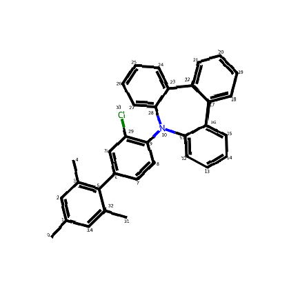 Cc1cc(C)c(-c2ccc(N3c4ccccc4-c4ccccc4-c4ccccc43)c(Cl)c2)c(C)c1